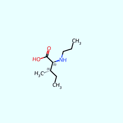 CCCN[C@H](C(=O)O)[C@@H](C)CC